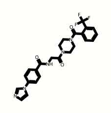 O=C(NCC(=O)N1CCN(C(=O)c2ccccc2C(F)(F)F)CC1)c1ccc(-n2ccnc2)cc1